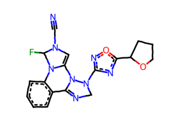 N#CN1C=C2N(c3ccccc3C3=NCN(c4noc(C5CCCO5)n4)N23)C1F